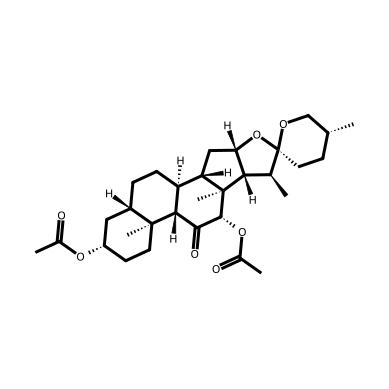 CC(=O)O[C@H]1CC[C@@]2(C)[C@@H](CC[C@@H]3[C@@H]2C(=O)[C@@H](OC(C)=O)[C@]2(C)[C@@H]4[C@H](C[C@@H]32)O[C@]2(CC[C@@H](C)CO2)[C@H]4C)C1